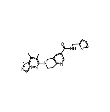 Cc1c(N2CCc3ncc(C(=O)NCc4cccs4)cc3C2)nn2cnnc2c1C